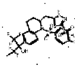 CS(=O)(=O)C1=NNC(C[C@@H]2CCc3cc(C(O)(C(F)(F)F)C(F)(F)F)ccc3N2S(=O)(=O)c2ccc(F)cc2)S1